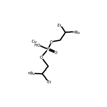 CCCCC(CC)COP(=O)(O)OCC(CC)CCCC.[Cu]